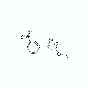 CCOC(=O)C[C@@H](N)c1cccc([N+](=O)[O-])c1